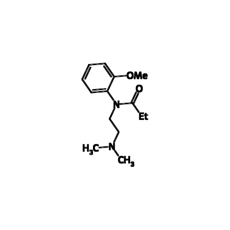 [CH2]CC(=O)N(CCN(C)C)c1ccccc1OC